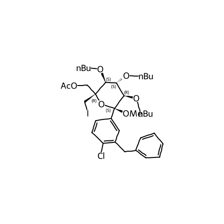 CCCCO[C@@H]1[C@@H](OCCCC)[C@](OC)(c2ccc(Cl)c(Cc3ccccc3)c2)O[C@](CI)(COC(C)=O)[C@H]1OCCCC